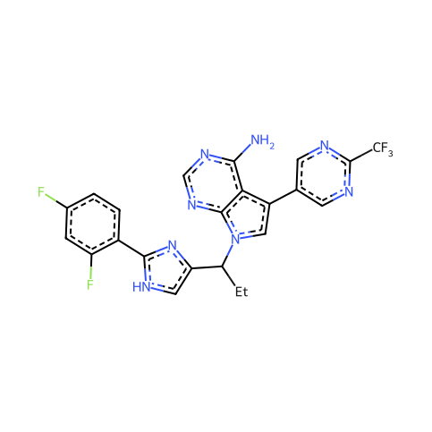 CCC(c1c[nH]c(-c2ccc(F)cc2F)n1)n1cc(-c2cnc(C(F)(F)F)nc2)c2c(N)ncnc21